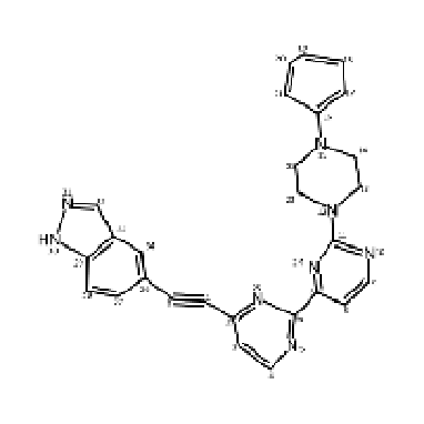 C(#Cc1ccnc(-c2ccnc(N3CCN(c4ccccc4)CC3)n2)n1)c1ccc2[nH]ncc2c1